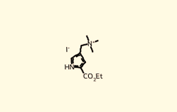 CCOC(=O)c1cc(C[N+](C)(C)C)c[nH]1.[I-]